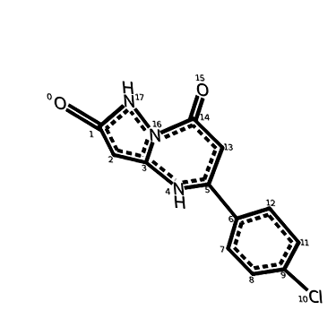 O=c1cc2[nH]c(-c3ccc(Cl)cc3)cc(=O)n2[nH]1